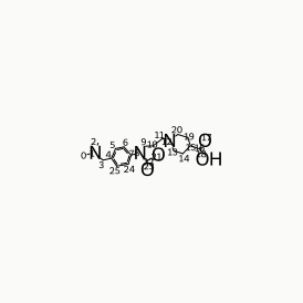 CN(C)Cc1ccc(N2CC(CN3CCC(C(=O)O)CC3)OC2=O)cc1